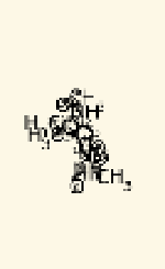 CNC(=O)C(CCC=O)N1Cc2c(ccc3c2OC(C)(C)CC3NC(C)=O)C1=O